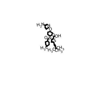 CC1CCC(C(=O)N(c2cc(C#CC(C)(C)C)sc2C(=O)O)[C@H]2CC[C@H](Oc3ccc(N)cn3)CC2)CC1